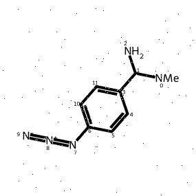 CNC(N)c1ccc(N=[N+]=[N-])cc1